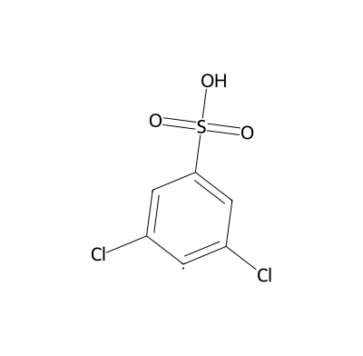 O=S(=O)(O)c1cc(Cl)[c]c(Cl)c1